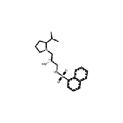 CC(C)C1CCCN1C[C@@H](O)CNS(=O)(=O)c1cccc2ccccc12